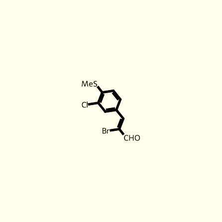 CSc1ccc(C=C(Br)C=O)cc1Cl